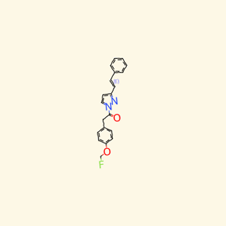 O=C(Cc1ccc(OCF)cc1)n1ccc(/C=C/c2ccccc2)n1